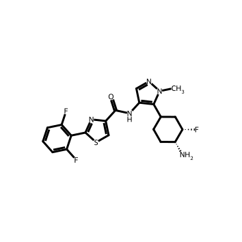 Cn1ncc(NC(=O)c2csc(-c3c(F)cccc3F)n2)c1C1CC[C@@H](N)[C@@H](F)C1